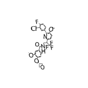 COc1cc(C(=O)NCC(c2ccc(OC)c(-c3ccc(F)c(Cl)c3)n2)C(F)(F)F)ccc1OC1COC1